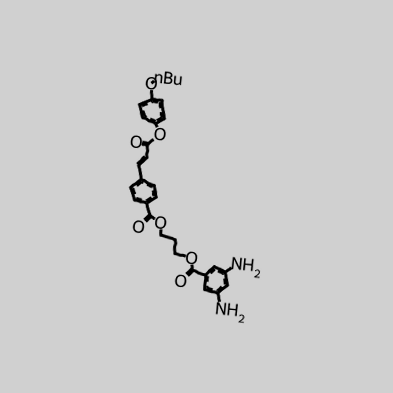 CCCCOc1ccc(OC(=O)C=Cc2ccc(C(=O)OCCCOC(=O)c3cc(N)cc(N)c3)cc2)cc1